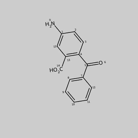 Nc1ccc(C(=O)c2ccccc2)c(C(=O)O)c1